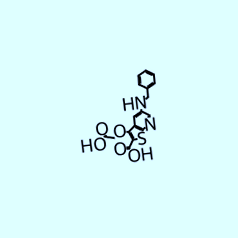 O=C(O)COc1c(C(=O)O)sc2ncc(NCc3ccccc3)cc12